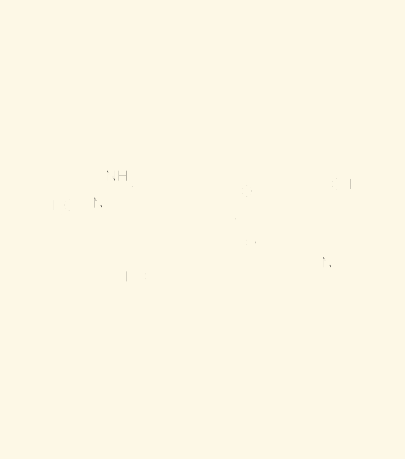 Cc1cncc(OC(=O)c2ccc(CN(C)N)c(C)c2)c1